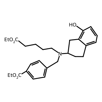 CCOC(=O)CCCCN(Cc1ccc(C(=O)OCC)cc1)C1CCc2cccc(O)c2C1